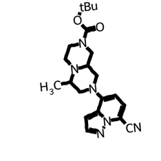 CC1CN(c2ccc(C#N)n3nccc23)CC2CN(C(=O)OC(C)(C)C)CCN12